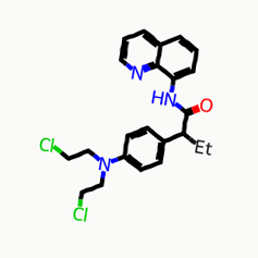 CCC(C(=O)Nc1cccc2cccnc12)c1ccc(N(CCCl)CCCl)cc1